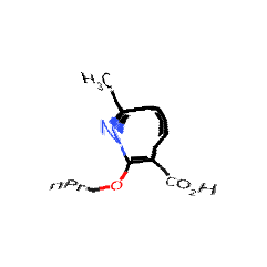 CCCOc1nc(C)ccc1C(=O)O